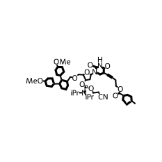 COc1ccc(-c2cccc(COCC3OC(n4cc(C#CCCOC(=O)c5ccc(C)cc5)c(=O)[nH]c4=O)CC3OP(OCCC#N)N(C(C)C)C(C)C)c2-c2ccc(OC)cc2)cc1